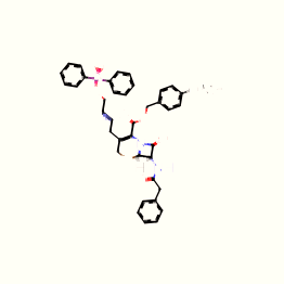 COc1ccc(COC(=O)C2=C(C/C=C/COP(=O)(c3ccccc3)c3ccccc3)CS[C@@H]3[C@H](NC(=O)Cc4ccccc4)C(=O)N23)cc1